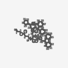 C=CCOC(=O)CCN(C)C(=O)[C@H](CC(=O)OC(c1ccccc1)(c1ccc(C2CCCC2)cc1)c1ccccc1Cl)NC(=O)OCC1c2ccccc2-c2ccccc21